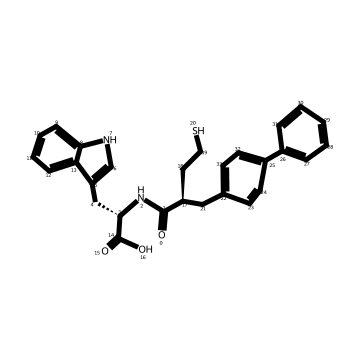 O=C(N[C@@H](Cc1c[nH]c2ccccc12)C(=O)O)[C@@H](CCS)Cc1ccc(-c2ccccc2)cc1